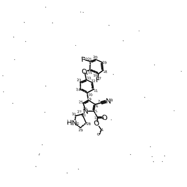 CCOC(=O)c1c(C#N)c(-c2ccc(Oc3c(F)cccc3F)cc2)cn1[C@@H]1CCNC1